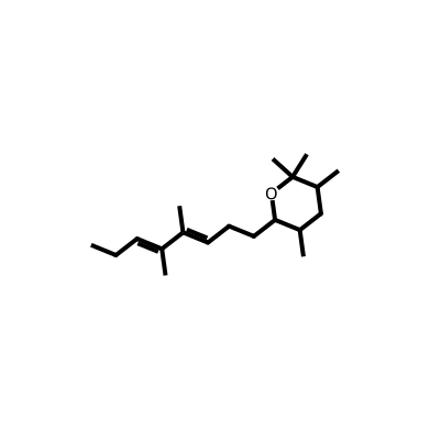 CC/C=C(C)/C(C)=C/CCC1OC(C)(C)C(C)CC1C